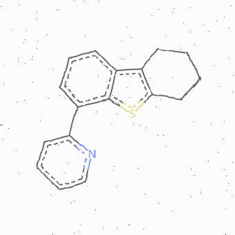 c1ccc(-c2cccc3c4c(sc23)CCCC4)nc1